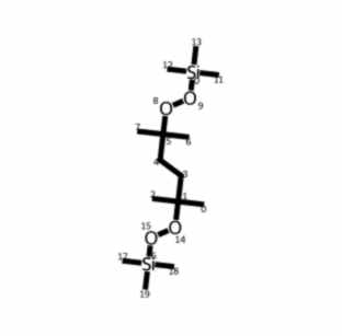 CC(C)(CCC(C)(C)OO[Si](C)(C)C)OO[Si](C)(C)C